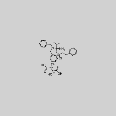 CC(C)C(N)(C[C@H](O)CCc1ccccc1)N(Cc1ccccc1)Cc1ccccc1.O=C(O)[C@H](O)[C@@H](O)C(=O)O